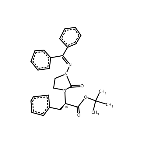 CC(C)(C)OC(=O)[C@@H](Cc1ccccc1)N1CCN(N=C(c2ccccc2)c2ccccc2)C1=O